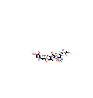 CO/N=C(\C(=O)N[C@@H]1C(=O)N2C(C(=O)O)=C(COC(=O)/C=C/c3cc(=O)c(O)c[nH]3)CS[C@H]12)c1csc(NC(=O)CCl)n1